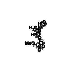 COCCCN1C(=O)COc2ccc(CO[C@@H]3CC[C@@H](C[C@H](C)C(=O)NCC4CCOCC4)NC3)cc21